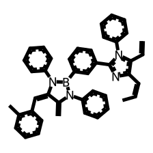 C=Cc1c(/C=C\C)nc(-c2cccc(B3N(c4ccccc4)C(=C)/C(=C\c4ccccc4C)N3c3ccccc3)c2)n1-c1ccccc1